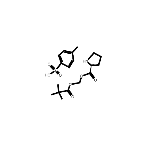 CC(C)(C)C(=O)OCOC(=O)[C@@H]1CCCN1.Cc1ccc(S(=O)(=O)O)cc1